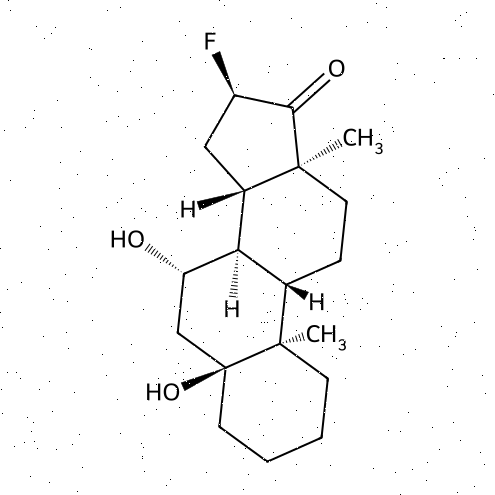 C[C@]12CC[C@H]3[C@@H]([C@@H](O)C[C@@]4(O)CCCC[C@]34C)[C@@H]1C[C@@H](F)C2=O